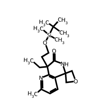 CCC1(CCO[Si](C)(C)C(C)(C)C)C(=O)NC2(COC2)c2ccc(C)nc21